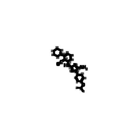 CC(C)Oc1ccc(-n2nc(NC3C=CC=C(N4CCCCC4)C3=C=O)nc2N)cc1